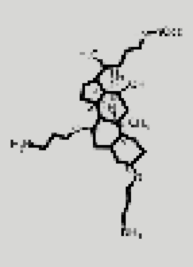 CCCCCCCCNCCCC(C)C1CC[C@H]2C3[C@H](OCCCN)CC4C[C@H](OCCCN)CC[C@]4(C)[C@H]3C[C@H](O)[C@]12C